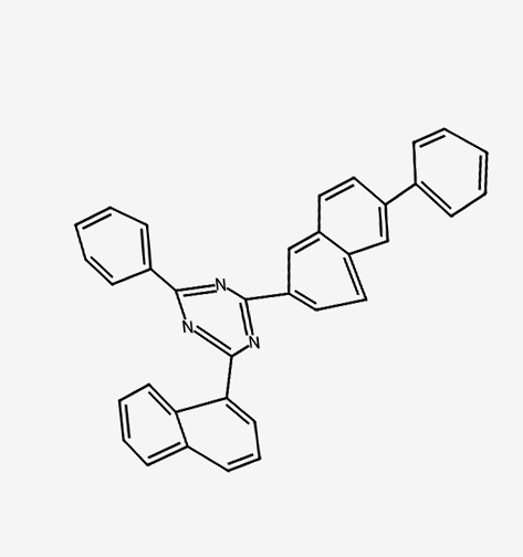 c1ccc(-c2ccc3cc(-c4nc(-c5ccccc5)nc(-c5cccc6ccccc56)n4)ccc3c2)cc1